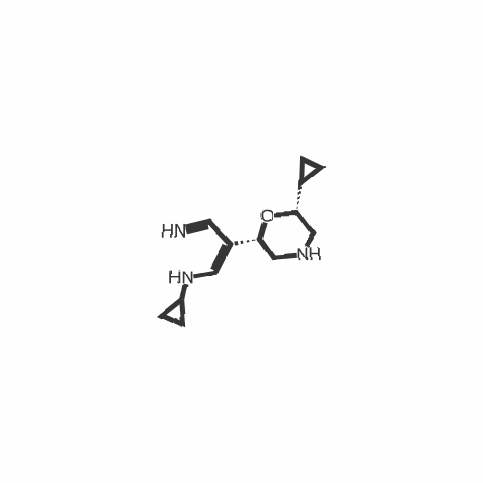 N=C/C(=C\NC1CC1)[C@H]1CNC[C@@H](C2CC2)O1